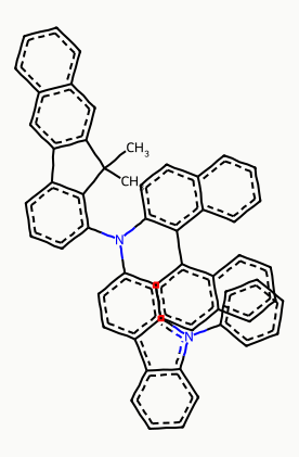 CC1(C)c2cc3ccccc3cc2-c2cccc(N(c3ccc4c5ccccc5n(-c5ccccc5)c4c3)c3ccc4ccccc4c3-c3cccc4ccccc34)c21